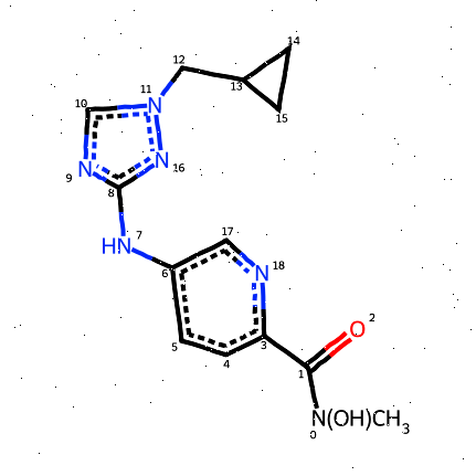 CN(O)C(=O)c1ccc(Nc2ncn(CC3CC3)n2)cn1